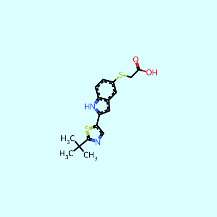 CC(C)(C)c1ncc(-c2cc3cc(SCC(=O)O)ccc3[nH]2)s1